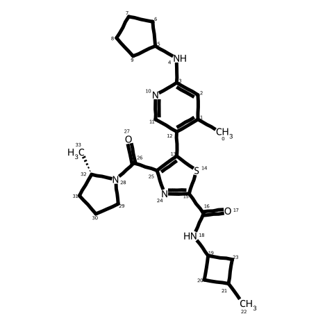 Cc1cc(NC2CCCC2)ncc1-c1sc(C(=O)NC2CC(C)C2)nc1C(=O)N1CCC[C@@H]1C